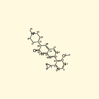 COc1ncnc(C2CC2)c1-c1ncc2c(n1)=NC(=O)C(C1CCN(C)CC1)C=2